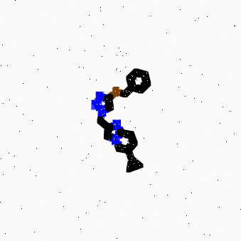 c1ccc(CSc2cn(Cc3cn4cc(C5CC5)ccc4n3)nn2)cc1